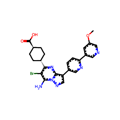 COc1cncc(-c2ccc(-c3cnn4c(N)c(Br)c([C@H]5CC[C@H](C(=O)O)CC5)nc34)cn2)c1